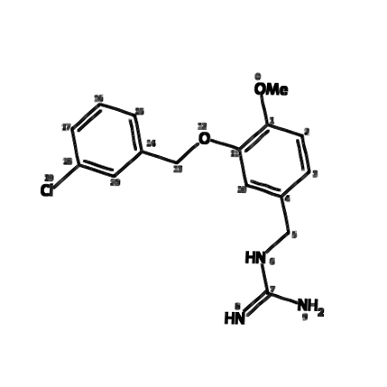 COc1ccc(CNC(=N)N)cc1OCc1cccc(Cl)c1